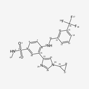 CNS(=O)(=O)c1ccc(NCc2cccc(C(F)(F)F)c2)c(-c2cn(C3CC3)cn2)c1